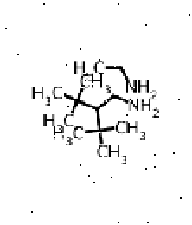 CC(C)(C)C(CN)C(C)(C)C.CCN